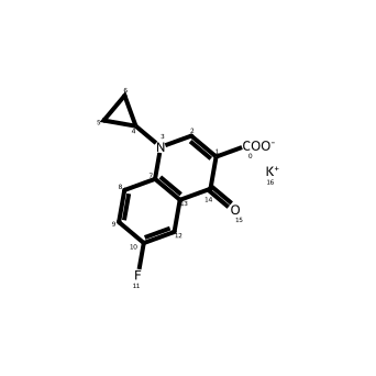 O=C([O-])c1cn(C2CC2)c2ccc(F)cc2c1=O.[K+]